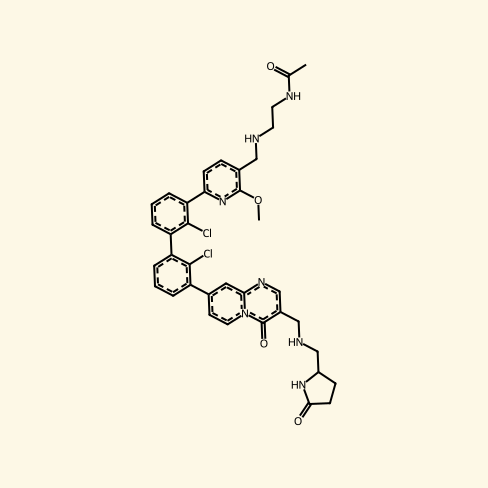 COc1nc(-c2cccc(-c3cccc(-c4ccn5c(=O)c(CNCC6CCC(=O)N6)cnc5c4)c3Cl)c2Cl)ccc1CNCCNC(C)=O